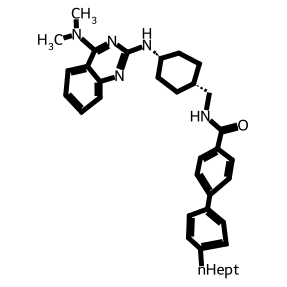 CCCCCCCc1ccc(-c2ccc(C(=O)NC[C@H]3CC[C@@H](Nc4nc(N(C)C)c5ccccc5n4)CC3)cc2)cc1